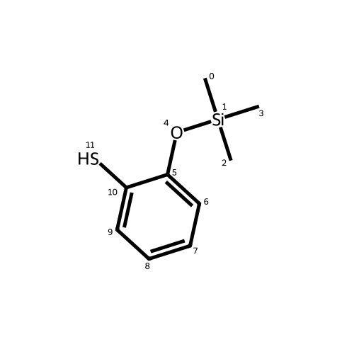 C[Si](C)(C)Oc1ccccc1S